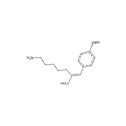 COc1ccc(C=C(CCCCCN)C(=O)O)cc1